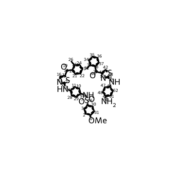 COc1ccc(S(=O)(=O)Nc2ccc(Nc3ncc(C(=O)c4ccccc4C)s3)cc2)cc1.Cc1ccccc1C(=O)c1csc(Nc2ccc(N)cc2)n1